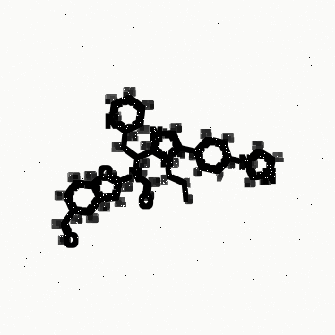 CCCn1c(-c2ccc(-n3ccnc3)cc2)cnc1C(Cc1ccccn1)N(C=O)c1cc2cc(C=O)ccc2o1